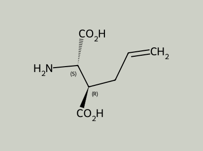 C=CC[C@@H](C(=O)O)[C@H](N)C(=O)O